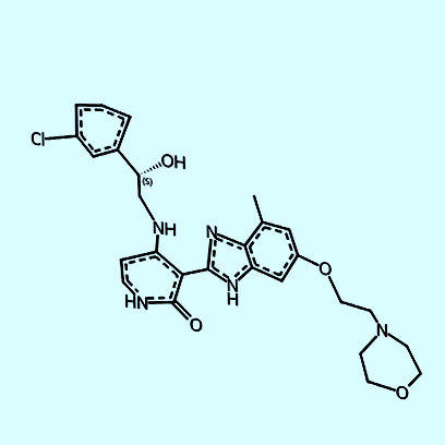 Cc1cc(OCCN2CCOCC2)cc2[nH]c(-c3c(NC[C@@H](O)c4cccc(Cl)c4)cc[nH]c3=O)nc12